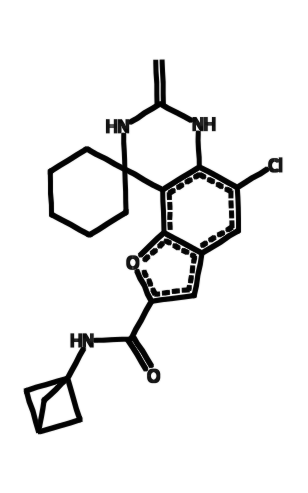 C=C1Nc2c(Cl)cc3cc(C(=O)NC45CC(C4)C5)oc3c2C2(CCCCC2)N1